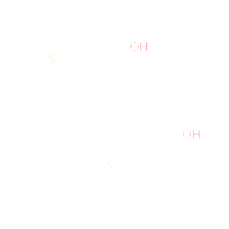 Cc1cc(O)c(/C=C/c2sc(C)cc2O)s1